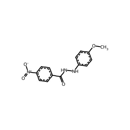 COc1ccc(NNC(=O)c2ccc([N+](=O)[O-])cc2)cc1